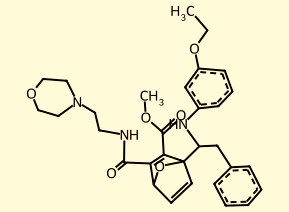 CCOc1cccc(NC(Cc2ccccc2)C23C=CC(O2)C(C(=O)NCCN2CCOCC2)=C3C(=O)OC)c1